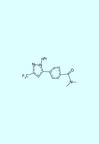 CCCn1nc(C(F)(F)F)cc1-c1ccc(C(=O)N(C)C)cc1